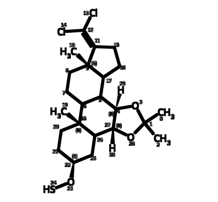 CC1(C)O[C@@H]2C3C(CC[C@]4(C)C(=C(Cl)Cl)CCC34)[C@@]3(C)CC[C@H](OS)CC3[C@H]2O1